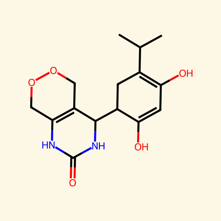 CC(C)C1=C(O)C=C(O)C(C2NC(=O)NC3=C2COOC3)C1